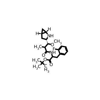 COC(C(C)C(=O)NC(Cc1ccccc1F)C(=O)OC(C)(C)C)[C@@H]1C[C@@H]2C[C@@H]2N1